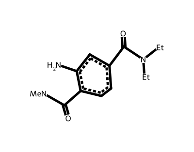 CCN(CC)C(=O)c1ccc(C(=O)NC)c(N)c1